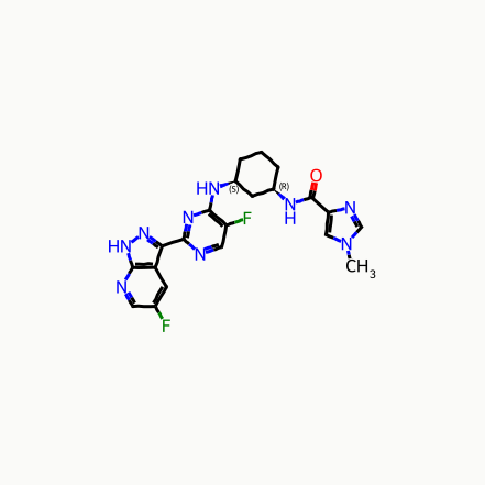 Cn1cnc(C(=O)N[C@@H]2CCC[C@H](Nc3nc(-c4n[nH]c5ncc(F)cc45)ncc3F)C2)c1